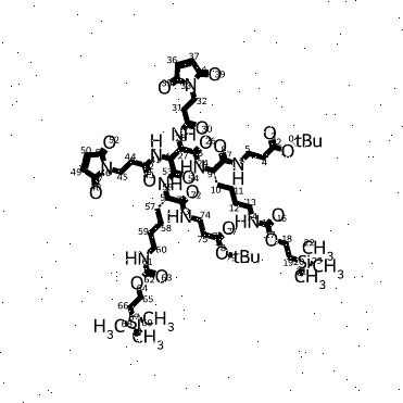 CC(C)(C)OC(=O)CCNC(=O)[C@H](CCCCNC(=O)OCC[Si](C)(C)C)NC(=O)C(NC(=O)CCN1C(=O)C=CC1=O)C(NC(=O)CCN1C(=O)C=CC1=O)C(=O)N[C@@H](CCCCNC(=O)OCC[Si](C)(C)C)C(=O)NCCC(=O)OC(C)(C)C